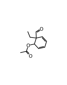 CCC1(C=O)C=CC=CC1OC(C)=O